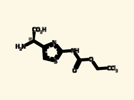 N[C@@H](C(=O)O)c1csc(NC(=O)OCC(Cl)(Cl)Cl)n1